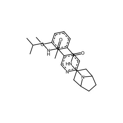 COc1cccc(C(=O)NC2CC3CCC(C2)N3c2ccc(C(=O)NCC(C)C)cn2)c1C